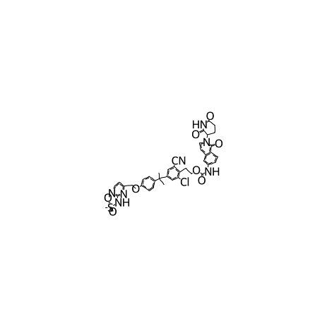 CC(C)(c1ccc(OCc2ccnc(NS(C)(=O)=O)n2)cc1)c1cc(Cl)c(CCOC(=O)Nc2ccc3c(=O)n(C4CCC(=O)NC4=O)ccc3c2)c(C#N)c1